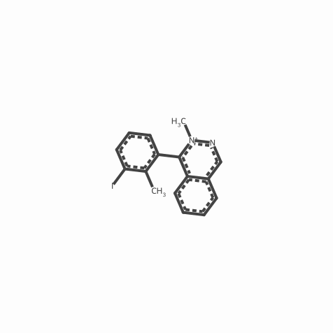 Cc1c(I)cccc1-c1c2ccccc2cn[n+]1C